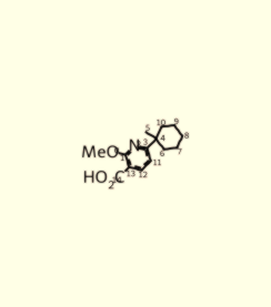 COc1nc(C2(C)CCCCC2)ccc1C(=O)O